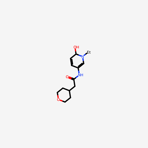 CCN1C=C(NC(=O)CC2CCOCC2)C=CC1O